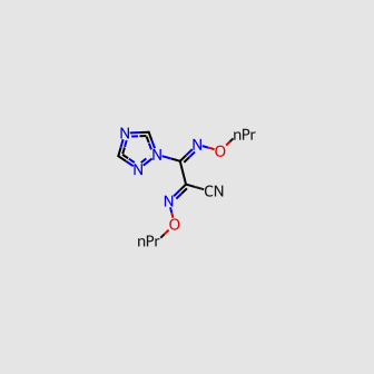 CCCON=C(C#N)C(=NOCCC)n1cncn1